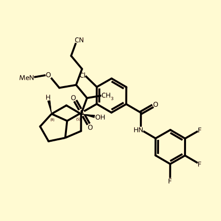 CNOCC(CCC#N)C(C)[C@]1(O)CC2CC[C@H](C1)C2S(=O)(=O)c1cc(C(=O)Nc2cc(F)c(F)c(F)c2)ccc1Cl